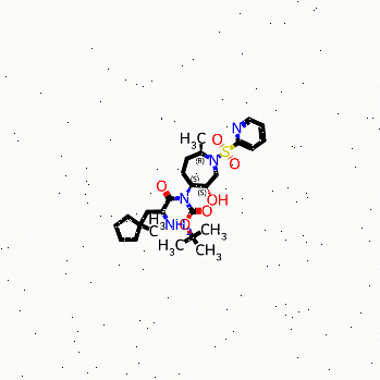 C[C@@H]1CC[C@H](N(C(=O)OC(C)(C)C)C(=O)C(N)CC2(C)CCCC2)[C@@H](O)CN1S(=O)(=O)c1ccccn1